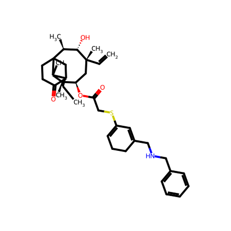 C=C[C@]1(C)C[C@@H](OC(=O)CSC2=CCCC(CNCc3ccccc3)=C2)[C@]2(C)C(C)CC34CC(CCC3=O)([C@@H](C)[C@@H]1O)C42C